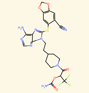 N#Cc1cc2c(cc1Sc1nc3c(N)ncnc3n1CCC1CCN(C(=O)C(OC(N)=O)C(F)(F)F)CC1)OCO2